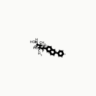 C[C@@](NCc1ccc2cc(-c3ccccc3)ccc2c1)(C(=O)NO)[C@](C)(O)C(F)F